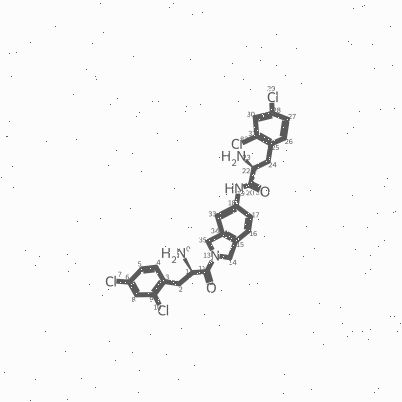 N[C@H](Cc1ccc(Cl)cc1Cl)C(=O)N1Cc2ccc(NC(=O)[C@@H](N)Cc3ccc(Cl)cc3Cl)cc2C1